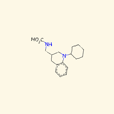 O=C(O)NCC1Cc2ccccc2N(C2CCCCC2)C1